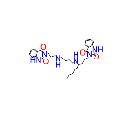 CCCCCC(CCCn1c(=O)[nH]c2ccccc2c1=O)NCCCCNCCCn1c(=O)[nH]c2ccccc2c1=O